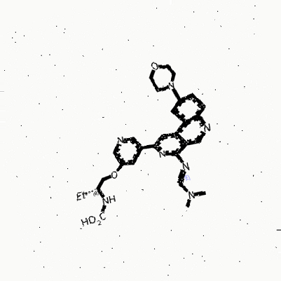 CC[C@H](COc1cncc(-c2cc3c(cnc4ccc(N5CCOCC5)cc43)c(/N=C/N(C)C)n2)c1)NC(=O)O